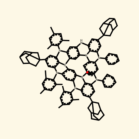 Cc1cc(C)c(N2c3cc4c(cc3B3c5ccccc5N(c5ccccc5)c5cc(C67CC8CC(CC(C8)C6)C7)cc2c53)B2c3cc5c(cc3N(c3c(C)cc(C)cc3C)c3cc(C67CC8CC(CC(C8)C6)C7)cc(c32)N4c2c(C)cc(C)cc2C)Nc2cc(C34CC6CC(CC(C6)C3)C4)cc3c2B5c2ccccc2N3c2ccccc2)c(C)c1